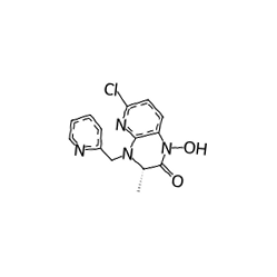 C[C@H]1C(=O)N(O)c2ccc(Cl)nc2N1Cc1ccccn1